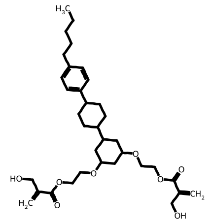 C=C(CO)C(=O)OCCOC1CC(OCCOC(=O)C(=C)CO)CC(C2CCC(c3ccc(CCCCC)cc3)CC2)C1